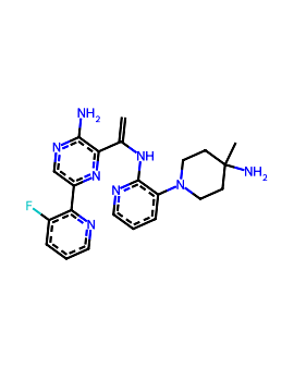 C=C(Nc1ncccc1N1CCC(C)(N)CC1)c1nc(-c2ncccc2F)cnc1N